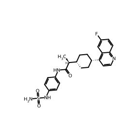 C[C@H](C(=O)Nc1ccc(NS(N)(=O)=O)cc1)[C@H]1CC[C@@H](c2ccnc3ccc(F)cc32)CC1